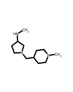 CNC1CCN(CC2CCN(C)CC2)C1